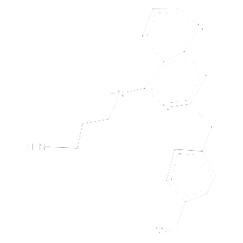 COc1ccc(Cc2cc3ncccc3c(NCCCN)n2)cc1